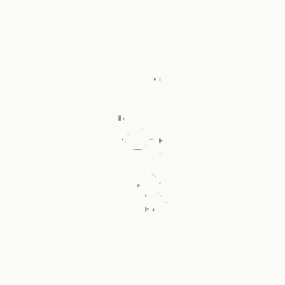 C[C@]1(O)CC[C@H](Nc2ncc3c(-c4ccn5nccc5c4)c[nH]c3n2)CC1